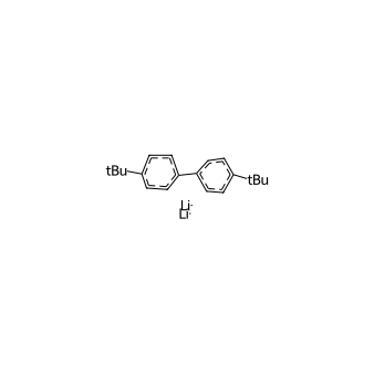 CC(C)(C)c1ccc(-c2ccc(C(C)(C)C)cc2)cc1.[Li].[Li]